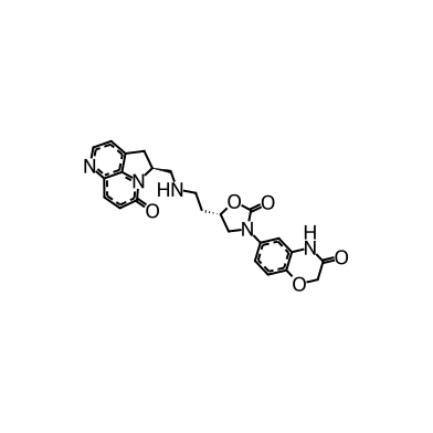 O=C1COc2ccc(N3C[C@H](CCNC[C@@H]4Cc5ccnc6ccc(=O)n4c56)OC3=O)cc2N1